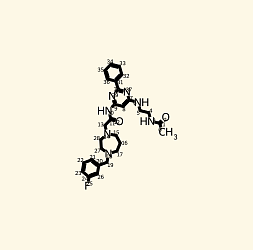 CC(=O)NCCNc1cc(NC(=O)CN2CCCN(Cc3cccc(F)c3)CC2)nc(-c2ccccc2)n1